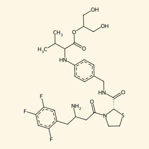 CC(C)C(Nc1ccc(CNC(=O)[C@@H]2SCCN2C(=O)CC(N)Cc2cc(F)c(F)cc2F)cc1)C(=O)OC(CO)CO